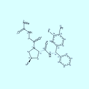 CNC(=O)NCC(=O)N1C[C@H](F)C[C@H]1C(=O)N[C@@H](c1ccccc1)c1ccc(C(C)C)c(F)n1